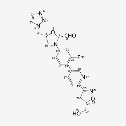 O=CC1O[C@@H](Cn2ccnn2)CN1c1ccc(-c2ccc(C3=NOC(CO)C3)nc2)c(F)c1